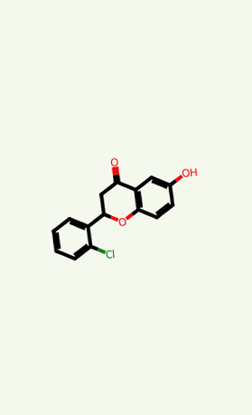 O=C1CC(c2ccccc2Cl)Oc2ccc(O)cc21